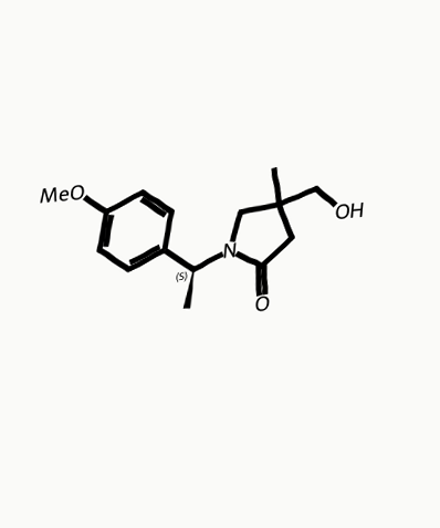 COc1ccc([C@H](C)N2CC(C)(CO)CC2=O)cc1